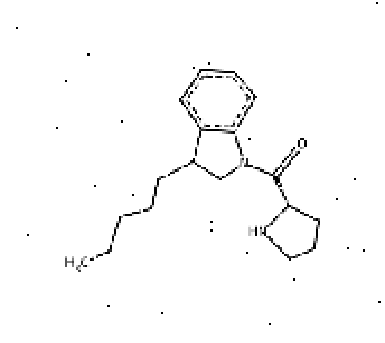 CCCCCC1CN(C(=O)[C@H]2CCCN2)c2ccccc21